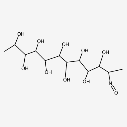 CC(O)C(O)C(O)C(O)C(O)C(O)C(O)C(O)C(O)C(C)N=O